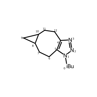 CCC(C)n1nnc2c1CCC1CC1CC2